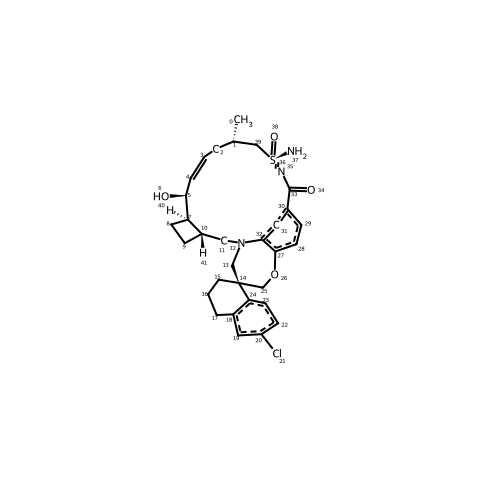 C[C@H]1C/C=C\[C@H](O)[C@@H]2CC[C@H]2CN2C[C@@]3(CCCc4cc(Cl)ccc43)COc3ccc(cc32)C(=O)N=[S@@](N)(=O)C1